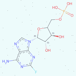 Nc1nc(F)nc2c1ncn2[C@@H]1OC(COP(=O)(O)O)[C@@H](O)[C@@H]1O